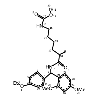 CCOc1ccc(C(NC(=O)C(C)CCCCNC(=O)OC(C)(C)C)c2ccc(OC)cc2OC)cc1